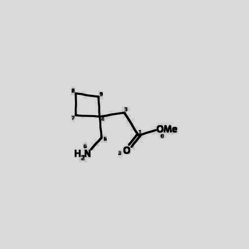 COC(=O)CC1(CN)CCC1